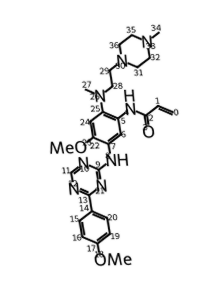 C=CC(=O)Nc1cc(Nc2ncnc(-c3ccc(OC)cc3)n2)c(OC)cc1N(C)CCN1CCN(C)CC1